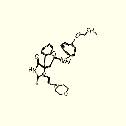 CCOc1ccc(NC(=O)CC2(c3ccccc3)C(=O)NC(=S)N2CCN2CCOCC2)cc1